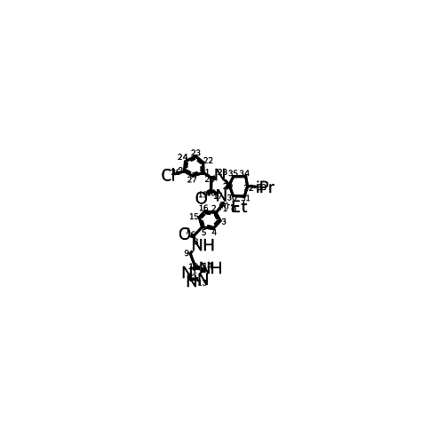 CC[C@H](c1ccc(C(=O)NCc2nnn[nH]2)cc1)N1C(=O)C(c2cccc(Cl)c2)=NC12CCC(C(C)C)CC2